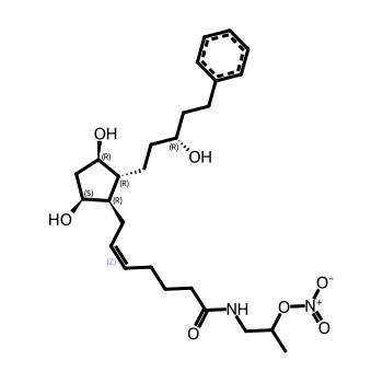 CC(CNC(=O)CCC/C=C\C[C@@H]1[C@@H](CC[C@@H](O)CCc2ccccc2)[C@H](O)C[C@@H]1O)O[N+](=O)[O-]